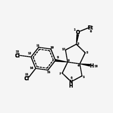 CCO[C@H]1C[C@@H]2CNC[C@]2(c2ccc(Cl)c(Cl)c2)C1